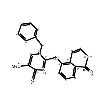 COc1cn(Cc2ccccc2)c(Nc2cccc3c(=O)[nH]ccc23)nc1=O